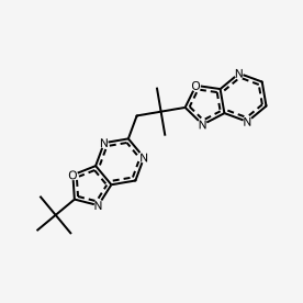 CC(C)(C)c1nc2cnc(CC(C)(C)c3nc4nccnc4o3)nc2o1